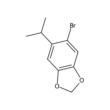 CC(C)c1cc2c(cc1Br)OCO2